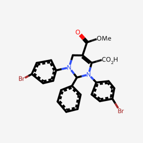 COC(=O)C1=C(C(=O)O)N(c2ccc(Br)cc2)C(c2ccccc2)N(c2ccc(Br)cc2)C1